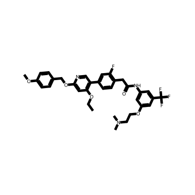 CCOc1cc(OCc2ccc(OC)cc2)ncc1-c1ccc(CC(=O)Nc2cc(OCCN(C)C)cc(C(F)(F)F)c2)c(F)c1